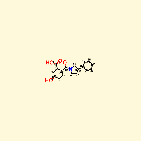 O=C(O)C1C[C@H](O)CC[C@@H]1C(=O)N1CC[C@H](c2ccccc2)C1